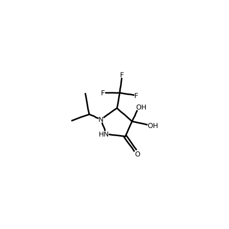 CC(C)N1NC(=O)C(O)(O)C1C(F)(F)F